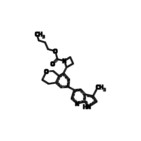 CCCCOC(=O)N1CCC1c1cc(-c2cnc3[nH]cc(C)c3c2)cc2c1COCC2